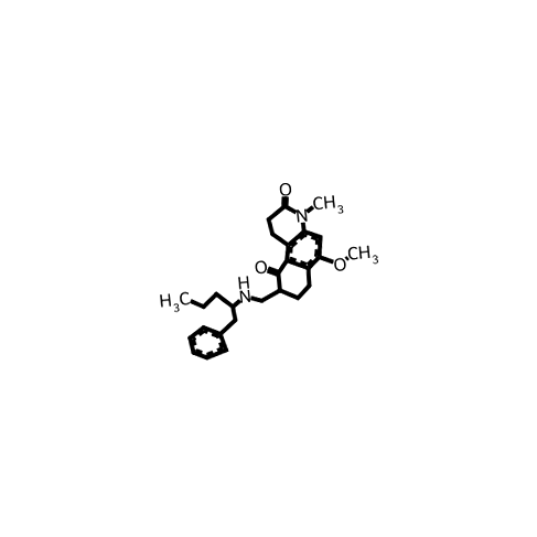 CCCC(Cc1ccccc1)NCC1CCc2c(OC)cc3c(c2C1=O)CCC(=O)N3C